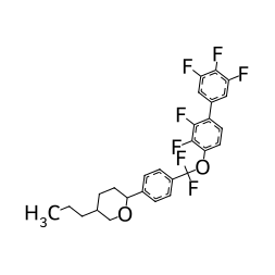 CCCC1CCC(c2ccc(C(F)(F)Oc3ccc(-c4cc(F)c(F)c(F)c4)c(F)c3F)cc2)OC1